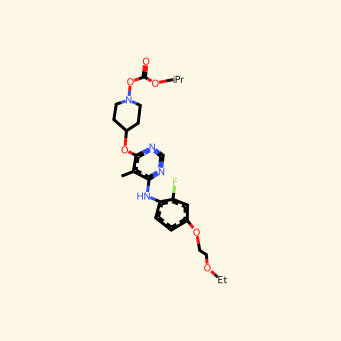 CCOCCOc1ccc(Nc2ncnc(OC3CCN(OC(=O)OC(C)C)CC3)c2C)c(F)c1